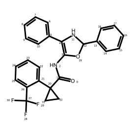 O=C(NC1=C(c2ccccc2)NC(c2ccccc2)O1)C1(c2ccccc2C(F)(F)F)CC1